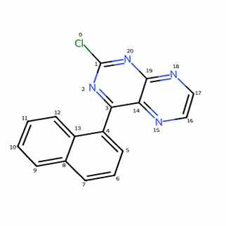 Clc1nc(-c2cccc3ccccc23)c2nccnc2n1